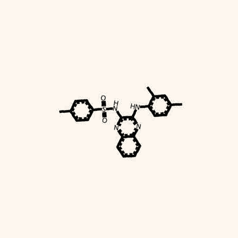 Cc1ccc(S(=O)(=O)Nc2nc3ccccc3nc2Nc2ccc(C)cc2C)cc1